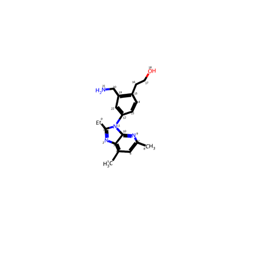 CCc1nc2c(C)cc(C)nc2n1-c1ccc(CCO)c(CN)c1